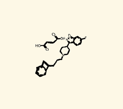 Fc1ccc2c(C3CCN(CCCC4=Cc5ccccc54)CC3)noc2c1.O=C(O)/C=C/C(=O)O